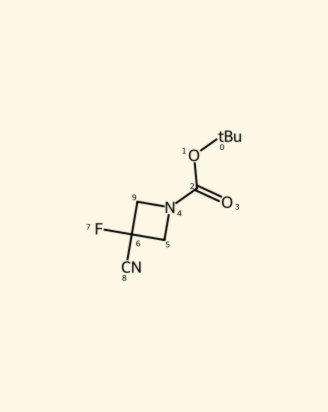 CC(C)(C)OC(=O)N1CC(F)(C#N)C1